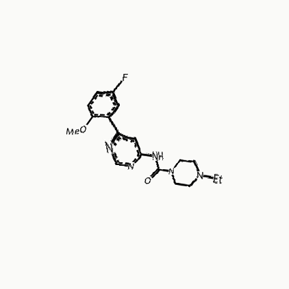 CCN1CCN(C(=O)Nc2cc(-c3cc(F)ccc3OC)ncn2)CC1